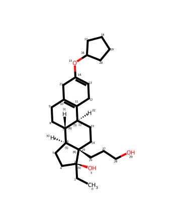 CC[C@]1(O)CC[C@H]2[C@@H]3CCC4=C(CC=C(OC5CCCC5)C4)[C@H]3CC[C@@]21CCCO